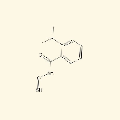 CC(C)c1ccccc1C(=O)[N+]OS